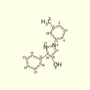 Cc1cccc(-n2cc(O)c(-c3ccccc3)n2)c1